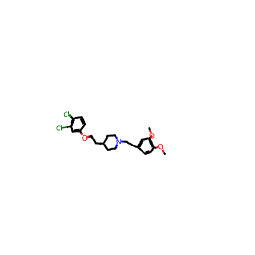 COc1ccc(CCN2CCC(CCOc3ccc(Cl)c(Cl)c3)CC2)cc1OC